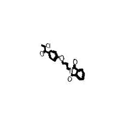 CC(Cl)C(=O)c1ccc(OCCCN2C(=O)c3ccccc3C2=O)cc1